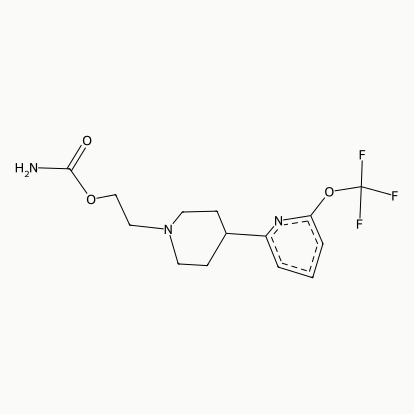 NC(=O)OCCN1CCC(c2cccc(OC(F)(F)F)n2)CC1